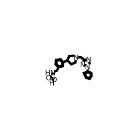 O=[SH](=O)NCc1cccc(C2CCN(Cc3ncn(-c4ccccc4)n3)CC2)c1